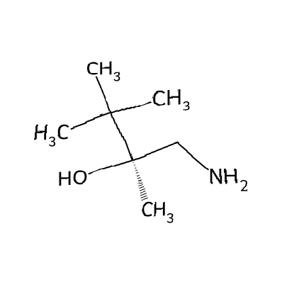 CC(C)(C)[C@](C)(O)CN